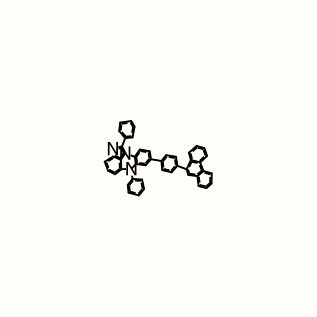 c1ccc(-c2nc3cccc4c3n2-c2ccc(-c3ccc(-c5cc6ccccc6c6ccccc56)cc3)cc2N4c2ccccc2)cc1